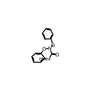 CCCCCCC(=O)N(Oc1ccccc1)Oc1ccccc1